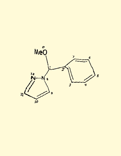 COC(c1ccccc1)n1cccn1